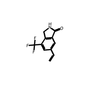 C=Cc1cc2c(c(C(F)(F)F)c1)CNC2=O